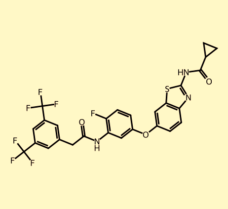 O=C(Cc1cc(C(F)(F)F)cc(C(F)(F)F)c1)Nc1cc(Oc2ccc3nc(NC(=O)C4CC4)sc3c2)ccc1F